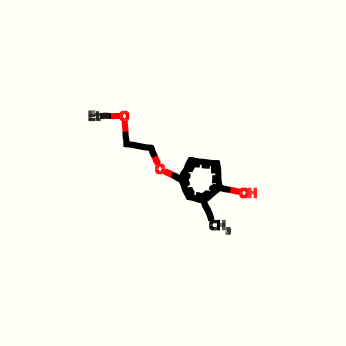 CCOCCOc1ccc(O)c(C)c1